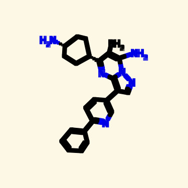 Bc1c(N)n2ncc(-c3ccc(-c4ccccc4)nc3)c2nc1[C@H]1CC[C@@H](N)CC1